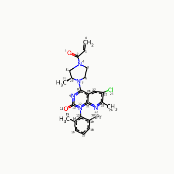 C=CC(=O)N1CCN(c2nc(=O)n(-c3c(C)cccc3C(C)C)c3nc(C)c(Cl)cc23)[C@@H](C)C1